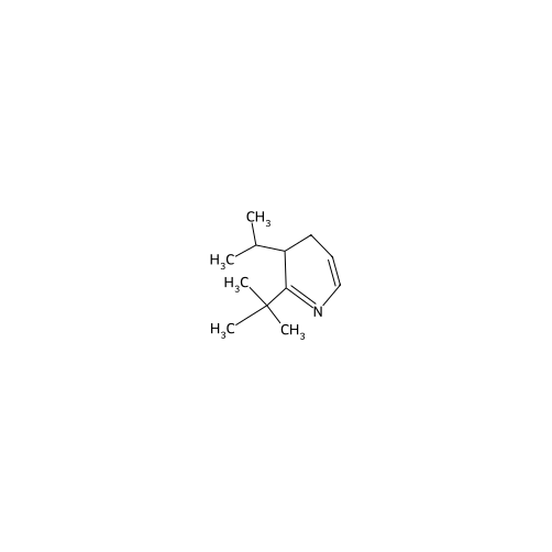 CC(C)C1CC=CN=C1C(C)(C)C